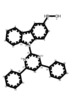 OBc1ccc2c(c1)c1ccccc1n2-c1nc(-c2ccccc2)cc(-c2ccccc2)n1